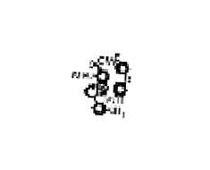 COC(=O)c1ccc(CC(=O)N(Nc2ccc(Oc3ccc(F)cc3)cc2)c2c(C)cccc2C2CCCNC2)cc1OC